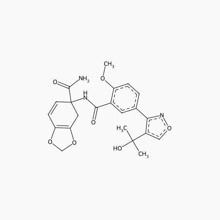 COc1ccc(-c2nocc2C(C)(C)O)cc1C(=O)NC1(C(N)=O)C=CC2=C(C1)OCO2